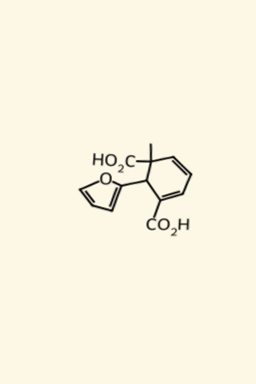 CC1(C(=O)O)C=CC=C(C(=O)O)C1c1ccco1